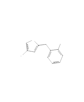 Fc1ccccc1Cc1cc(Br)cs1